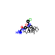 CC(C)C1CCC2(CC1)N=C(c1cccc(Cl)c1)C(=O)N2[C@H](CCC(C)(C)C)c1ccc(C(=O)NCc2nn[nH]n2)cc1